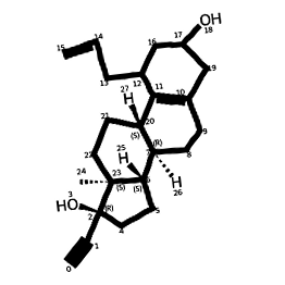 C#C[C@@]1(O)CC[C@H]2[C@@H]3CCC4=C(C(CC=C)CC(O)C4)[C@H]3CC[C@@]21C